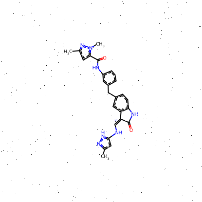 Cc1cc(N/C=C2\C(=O)Nc3ccc(Cc4cccc(NC(=O)c5cc(C)nn5C)c4)cc32)[nH]n1